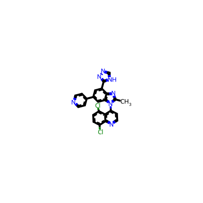 Cc1nc2c(-c3nnc[nH]3)cc(-c3ccncc3)cc2n1-c1ccnc2c(Cl)ccc(Cl)c12